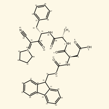 C[C@H](NC(=O)[C@@H](CC(=O)O)NC(=O)OCC1c2ccccc2-c2ccccc21)C(=O)N[C@@H](Cc1ccccc1)C(=O)C(C#N)=S1CCCC1